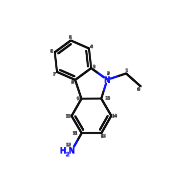 CCN1c2ccccc2C2C=C(N)C=CC21